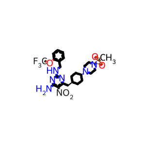 CS(=O)(=O)N1CCN([C@H]2CC[C@H](Cc3nc(NCc4ccccc4OC(F)(F)F)nc(N)c3[N+](=O)[O-])CC2)CC1